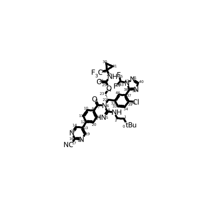 CC(C)(C)CCNC(=N)N(C(=O)c1ccc(-c2cnc(C#N)nc2)cc1)[C@H](COC(=O)NC1(C(F)(F)F)CC1)c1ccc(Cl)c(-c2ncnn2C(F)F)c1